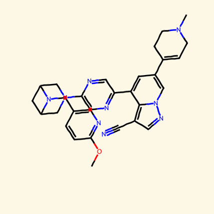 COc1ccc(CN2C3CC2CN(c2cnc(-c4cc(C5=CCN(C)CC5)cn5ncc(C#N)c45)cn2)C3)cn1